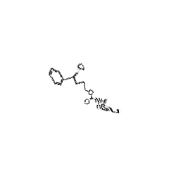 CCCCNC(=O)OCCCC(=O)c1ccccc1